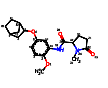 COc1ccc(OC2CC3CCC2C3)cc1NC(=O)C1CCC(=O)N1C